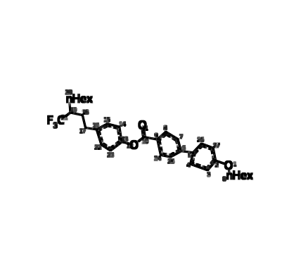 CCCCCCOc1ccc(-c2ccc(C(=O)Oc3ccc(CCC(CCCCCC)C(F)(F)F)cc3)cc2)cc1